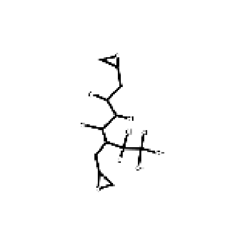 OC(O)(Cl)C(Cl)(Cl)C(CC1CO1)C(Cl)C(Cl)C(Cl)CC1CO1